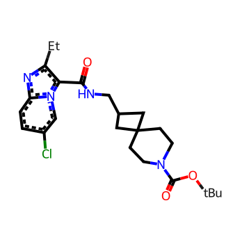 CCc1nc2ccc(Cl)cn2c1C(=O)NCC1CC2(CCN(C(=O)OC(C)(C)C)CC2)C1